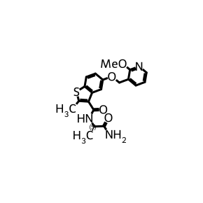 COc1ncccc1COc1ccc2sc(C)c(C(=O)N[C@@H](C)C(N)=O)c2c1